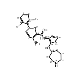 Nc1ccc(-c2c(F)cccc2F)nc1C(=O)Nc1cnsc1OC1CCCNCC1